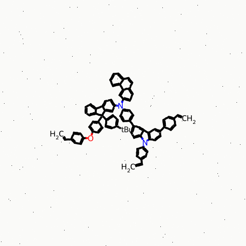 C=Cc1ccc(Oc2ccc(C3(c4ccc(C(C)(C)C)cc4)c4ccccc4-c4ccc(N(c5ccc(-c6ccc7c(c6)c6cc(-c8ccc(C=C)cc8)ccc6n7-c6ccc(C=C)cc6)cc5)c5ccc6ccc7ccccc7c6c5)cc43)cc2)cc1